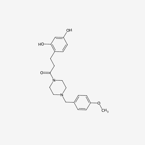 COc1ccc(CN2CCN(C(=O)CCc3ccc(O)cc3O)CC2)cc1